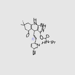 CC(C)NC(=O)Oc1n[nH]c2c1C(/C=C/c1ccc(Br)cn1)C1=C(CC(C)(C)CC1=O)N2